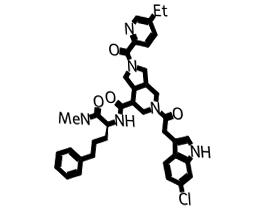 CCc1ccc(C(=O)N2CC3CN(C(=O)Cc4c[nH]c5cc(Cl)ccc45)CC(C(=O)N[C@@H](CCCc4ccccc4)C(=O)NC)C3C2)nc1